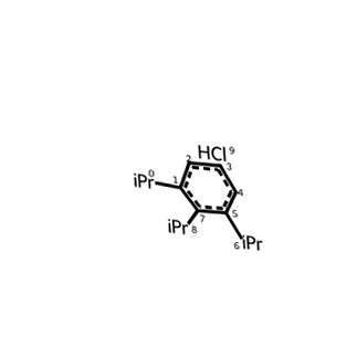 CC(C)c1cccc(C(C)C)c1C(C)C.Cl